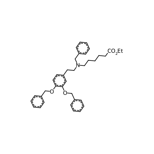 CCOC(=O)CCCCCN(CCc1ccc(OCc2ccccc2)c(OCc2ccccc2)c1)Cc1ccccc1